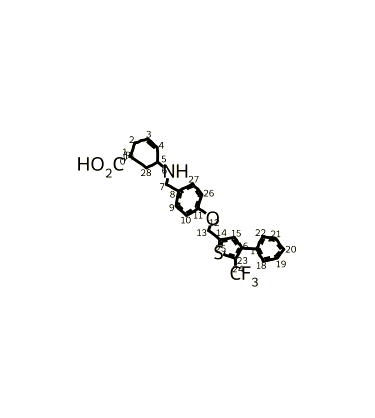 O=C(O)[C@@H]1CC=CC(NCc2ccc(OCc3cc(-c4ccccc4)c(C(F)(F)F)s3)cc2)C1